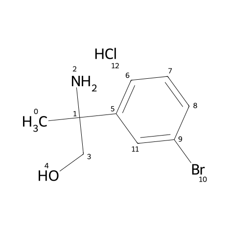 CC(N)(CO)c1cccc(Br)c1.Cl